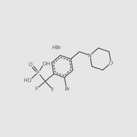 Br.O=P(O)(O)C(F)(F)c1ccc(CN2CCOCC2)cc1Br